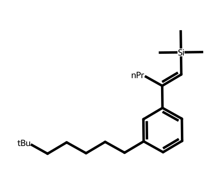 CCC/C(=C\[Si](C)(C)C)c1cccc(CCCCCC(C)(C)C)c1